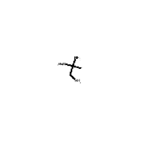 CNC(C)(N)CN